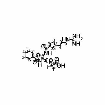 N=C(N)NC/C=C/c1ccc(C(=O)NC[C@H](NS(=O)(=O)c2ccccc2)C(=O)O)s1.O=C(O)C(F)(F)F